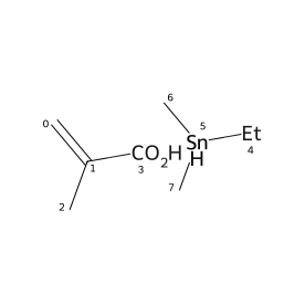 C=C(C)C(=O)O.C[CH2][SnH]([CH3])[CH3]